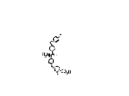 C[C@H]1CN(Cc2ccc(N(N)C(=O)C3CCC(Oc4ccc(F)cc4)CC3)cc2)CCN1C(=O)O